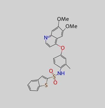 COc1cc2nccc(Oc3ccc(NS(=O)(=O)c4cc5ccccc5s4)c(C)c3)c2cc1OC